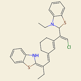 CCC(C=C1C=C(C(=CCl)C2Sc3ccccc3N2CC)CCC1)=C1Nc2ccccc2S1